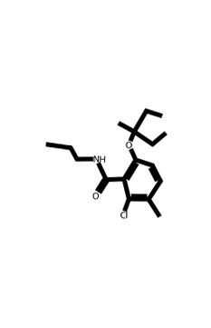 CCCNC(=O)c1c(OC(C)(CC)CC)ccc(C)c1Cl